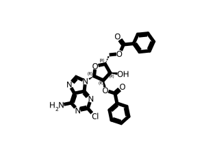 Nc1nc(Cl)nc2c1ncn2[C@@H]1O[C@H](COC(=O)c2ccccc2)[C@@H](O)[C@H]1OC(=O)c1ccccc1